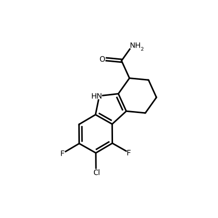 NC(=O)C1CCCc2c1[nH]c1cc(F)c(Cl)c(F)c21